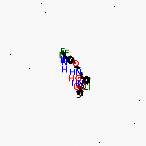 O=S(=O)(Nc1c(Cl)cccc1[C@@H](O)CNCCOc1ccc2c(C(F)(F)F)n[nH]c2c1)c1ccsc1